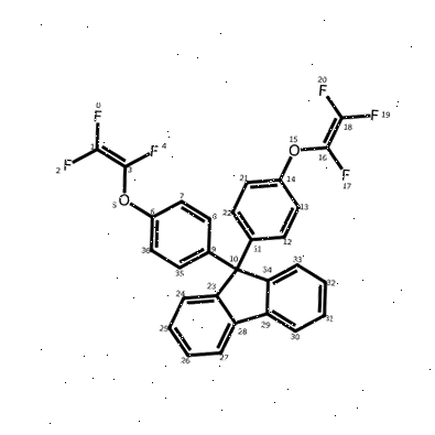 FC(F)=C(F)Oc1ccc(C2(c3ccc(OC(F)=C(F)F)cc3)c3ccccc3-c3ccccc32)cc1